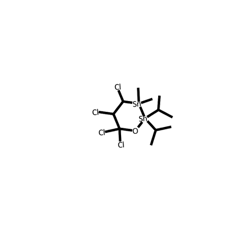 C[CH](C)[Sn]1([CH](C)C)[O]C(Cl)(Cl)C(Cl)[CH](Cl)[Sn]1([CH3])[CH3]